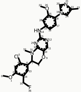 COc1cc(Cl)c(C2COc3cnc(Nc4ccc(-n5cnc(C)c5)c(OC)c4)nc3N2C)cc1CF